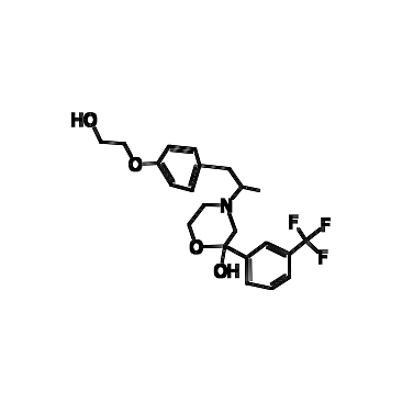 CC(Cc1ccc(OCCO)cc1)N1CCOC(O)(c2cccc(C(F)(F)F)c2)C1